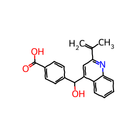 C=C(C)c1cc(C(O)c2ccc(C(=O)O)cc2)c2ccccc2n1